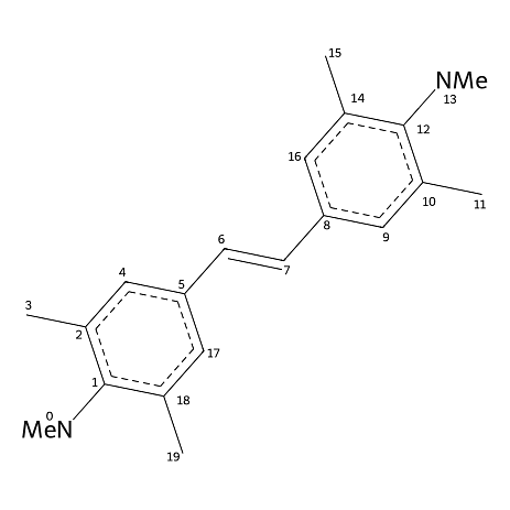 CNc1c(C)cc(C=Cc2cc(C)c(NC)c(C)c2)cc1C